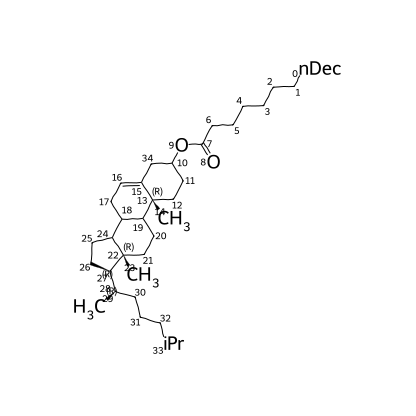 CCCCCCCCCCCCCCCCC(=O)OC1CC[C@@]2(C)C(=CCC3C2CC[C@@]2(C)C3CC[C@@H]2[C@H](C)CCCC(C)C)C1